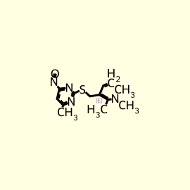 C=C/C(CSc1nc(C)cc(N=O)n1)=C(/C)N(C)C